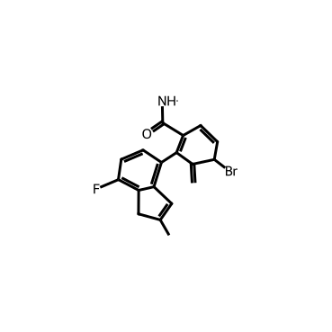 C=C1C(c2ccc(F)c3c2C=C(C)C3)=C(C([NH])=O)C=CC1Br